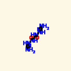 Nc1ccc(NCCNC(=O)CCC(=O)NCCNc2ccc(N)cn2)nc1